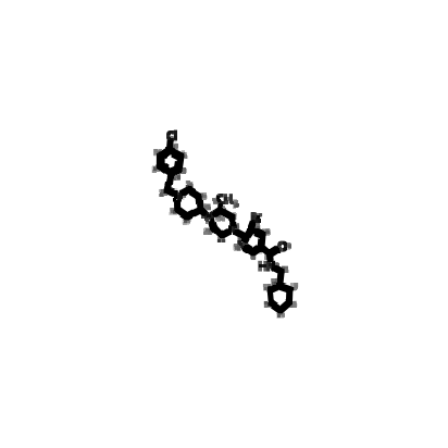 C[C@H]1CN(c2ncc(C(=O)NCC3CCCCC3)cc2Br)CCN1C1CCN(Cc2ccc(Cl)cc2)CC1